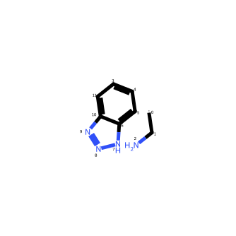 [CH2]CN.c1ccc2[nH]nnc2c1